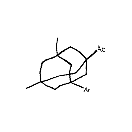 CC(=O)C12CC3(C)CC(C)(C1)CC(C(C)=O)(C3)C2